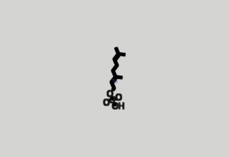 CC(C)=CCC/C(C)=C/COS(=O)(=O)O